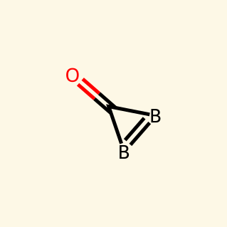 O=c1bb1